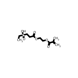 C=C(C)C(=O)OCCOC(=O)CCP(=O)(O)CC